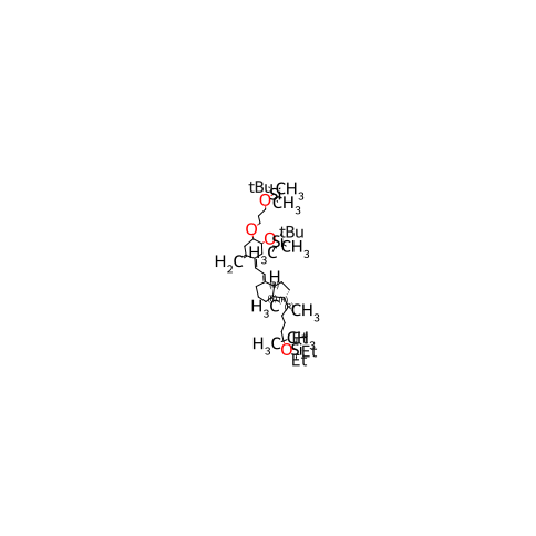 C=C1CC(OCCCO[Si](C)(C)C(C)(C)C)C(O[Si](C)(C)C(C)(C)C)CC1=CC=C1CCC[C@]2(C)[C@@H]([C@H](C)CCCC(C)(C)O[Si](CC)(CC)CC)CC[C@@H]12